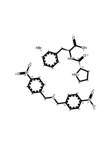 Br.O=C(O)[C@H](Cc1ccccc1)NC(=O)[C@@H]1CCCN1.O=[N+]([O-])c1ccc(COCc2ccc([N+](=O)[O-])cc2)cc1